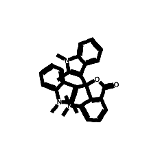 Cc1c(C2(c3c(C)n(C)c4ccccc34)OC(=O)c3cccc(N(C)C)c32)c2ccccc2n1C